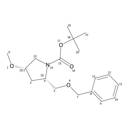 CO[C@H]1C[C@@H](COCc2ccccc2)N(C(=O)OC(C)(C)C)C1